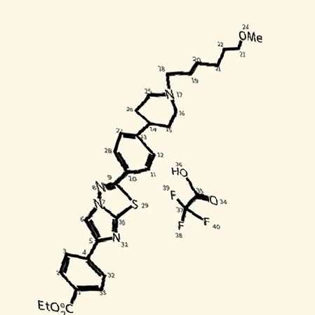 CCOC(=O)c1ccc(-c2cn3nc(-c4ccc(C5CCN(CCCCCCOC)CC5)cc4)sc3n2)cc1.O=C(O)C(F)(F)F